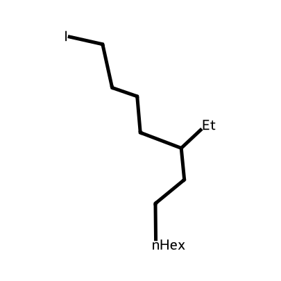 CCCCCCCCC(CC)CCCCI